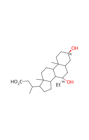 CC[C@@]1(O)CC2C[C@H](O)CCC2(C)C2CCC3(C)C(C(C)CC(=O)O)CCC3C21